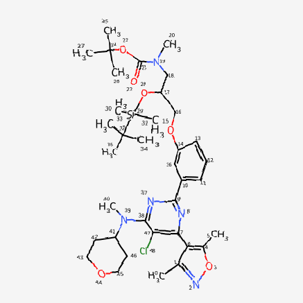 Cc1noc(C)c1-c1nc(-c2cccc(OCC(CN(C)C(=O)OC(C)(C)C)O[Si](C)(C)C(C)(C)C)c2)nc(N(C)C2CCOCC2)c1Cl